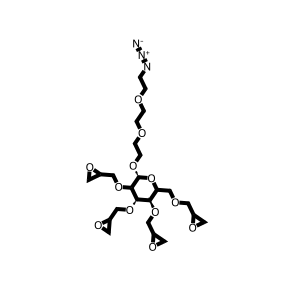 [N-]=[N+]=NCCOCCOCCO[C@@H]1OC(COCC2CO2)[C@@H](OCC2CO2)[C@H](OCC2CO2)C1OCC1CO1